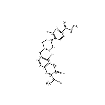 CNC(=O)c1ccc(N2CCN(Cc3ccc4nc(C(C)F)c(=O)[nH]c4c3F)CC2)c(F)n1